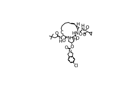 CC(C)(C)CC(=O)N[C@H]1CCCCC/C=C/[C@@H]2C[C@@]2(C(=O)NS(=O)(=O)C2CC2)NC(=O)[C@@H]2C[C@@H](OC(=O)N3Cc4ccc(Cl)cc4C3)CN2C1=O